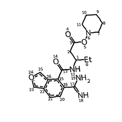 CCC(CC(=O)ON1CCCCC1)NC(=O)c1c(C(=N)N)ccc2cocc12